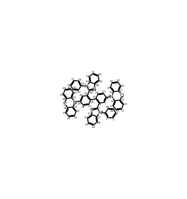 c1ccc(-n2c(-c3cc(N4c5ccccc5Oc5ccccc54)ccc3-c3ccc(N4c5ccccc5Sc5ccccc54)cc3-c3nc4ccccc4n3-c3ccccc3)nc3ccccc32)cc1